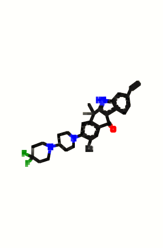 C#Cc1ccc2c3c([nH]c2c1)C(C)(C)c1cc(N2CCC(N4CCC(F)(F)CC4)CC2)c(CC)cc1C3=O